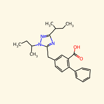 CCC(C)c1nc(Cc2ccc(-c3ccccc3)c(C(=O)O)c2)n(C(C)CC)n1